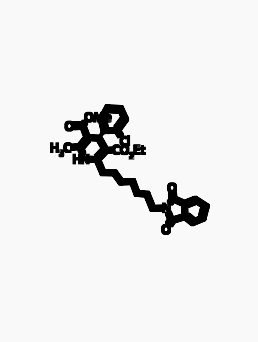 CCOC(=O)C1=C(CCCCCCCN2C(=O)c3ccccc3C2=O)NC(C)=C(C(=O)OC)[C@@H]1c1ccccc1Cl